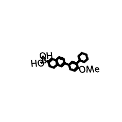 COC1=CCC(c2ccc3c(c2)CCC(B(O)O)=C3)C=C1C1CCCCC1